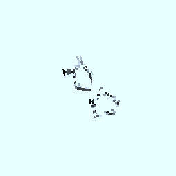 c1cn[nH]c1.c1csnn1